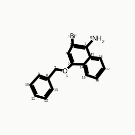 Nc1c(Br)cc(OCc2ccccc2)c2ccccc12